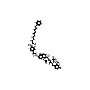 C[C@H](N(Cc1ccc(F)cc1)C(=O)CN1C(=O)O[C@@]2(CCc3cc(NCCc4ccc(NC(=O)CCCCCCCCCc5ccccc5)cc4)ccc32)C1=O)C(F)(F)F